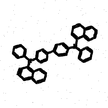 c1cc2ccccc2c(N(c2ccccc2)c2ccc(-c3ccc(N(c4ccccc4)c4cccc5ccccc45)cc3)cc2)c#1